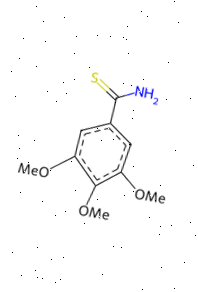 COc1cc(C(N)=S)cc(OC)c1OC